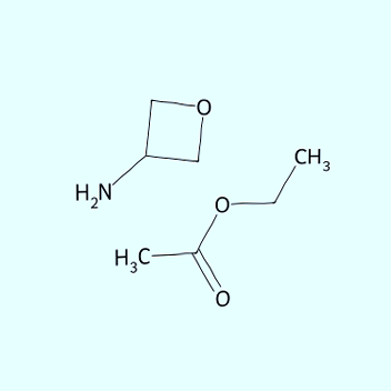 CCOC(C)=O.NC1COC1